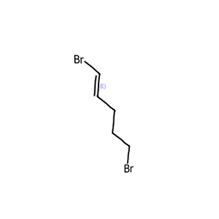 Br/C=C/CCCBr